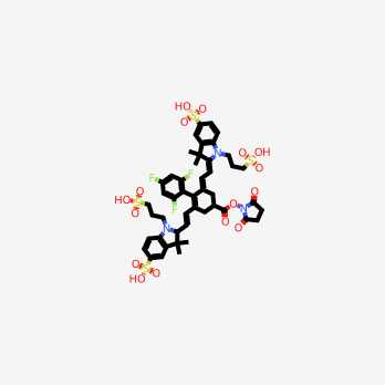 CC1(C)/C(=C\C=C2/CC(C(=O)ON3C(=O)CCC3=O)CC(/C=C/C3N(CCCS(=O)(=O)O)c4ccc(S(=O)(=O)O)cc4C3(C)C)=C2c2c(F)cc(F)cc2F)N(CCCS(=O)(=O)O)c2ccc(S(=O)(=O)O)cc21